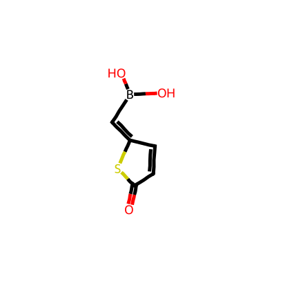 O=C1C=CC(=CB(O)O)S1